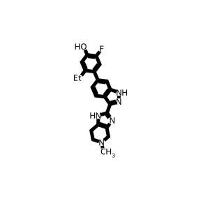 CCc1cc(O)c(F)cc1-c1ccc2c(-c3nc4c([nH]3)CCN(C)C4)n[nH]c2c1